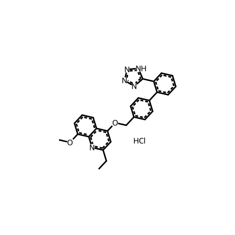 CCc1cc(OCc2ccc(-c3ccccc3-c3nnn[nH]3)cc2)c2cccc(OC)c2n1.Cl